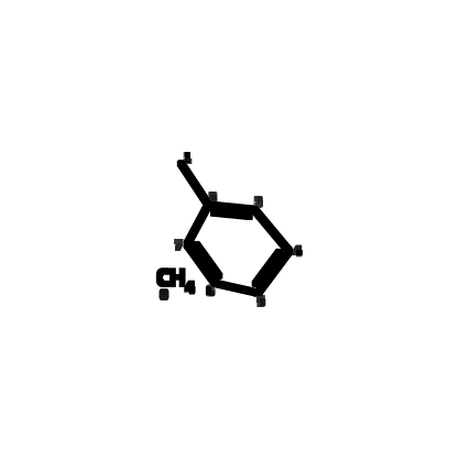 C.Cc1ccccc1